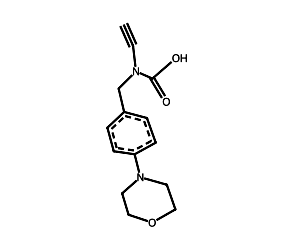 C#CN(Cc1ccc(N2CCOCC2)cc1)C(=O)O